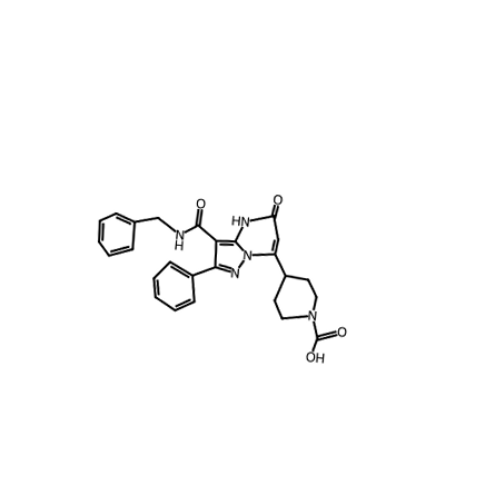 O=C(NCc1ccccc1)c1c(-c2ccccc2)nn2c(C3CCN(C(=O)O)CC3)cc(=O)[nH]c12